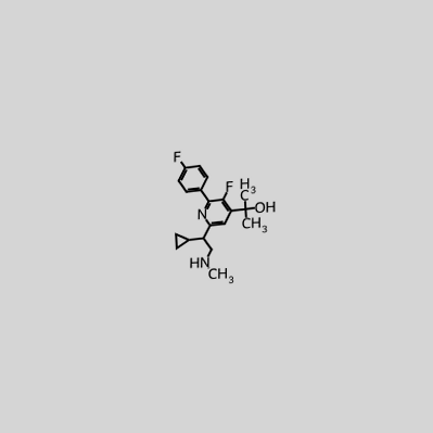 CNCC(c1cc(C(C)(C)O)c(F)c(-c2ccc(F)cc2)n1)C1CC1